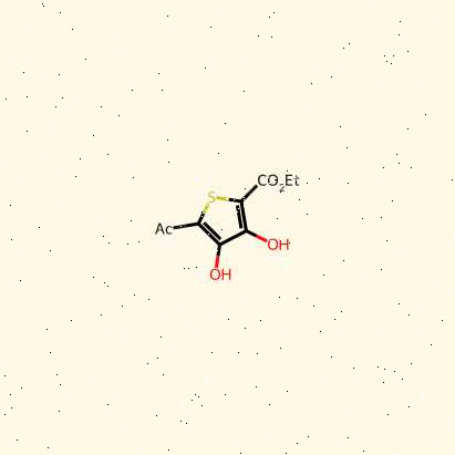 CCOC(=O)c1sc(C(C)=O)c(O)c1O